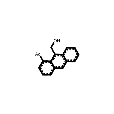 CC(=O)c1cccc2cc3ccccc3c(CO)c12